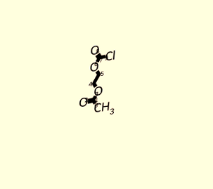 CC(=O)OCCOC(=O)Cl